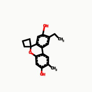 CCc1cc2c(cc1O)C1(CCC1)Oc1cc(O)c(C)cc1-2